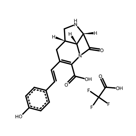 O=C(O)C(F)(F)F.O=C(O)C1=C(/C=C/c2ccc(O)cc2)C[C@@H]2CN[C@@H]3C(=O)N1[C@H]23